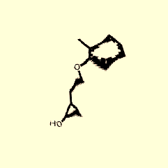 Cc1ccccc1OCCC1CC1O